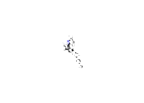 C=CCn1c(=O)c2cnc(Nc3ccc(N4CCC(N5CCC5)CC4)c(C)c3)nc2n1C(=N)/C=C\C(=O)NC(C)C